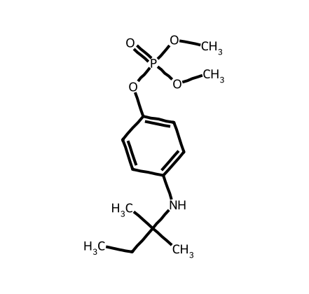 CCC(C)(C)Nc1ccc(OP(=O)(OC)OC)cc1